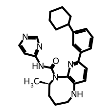 C[C@@H]1CCCNc2ccc(-c3cccc(C4CCCCC4)c3)nc2N1C(=O)Nc1ccncn1